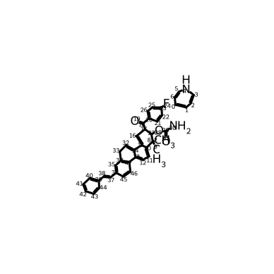 C1=CC=CNC=C1.CC1(C)c2ccc3c(c2=CC(C(=O)c2ccc(F)cc2)C1OC(N)=O)=CCc1cc(C=Cc2ccccc2)ccc1-3